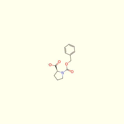 [O]C(=O)[C@@H]1CCCN1C(=O)OCc1ccccc1